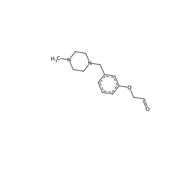 CN1CCN(Cc2cccc(OC[C]=O)c2)CC1